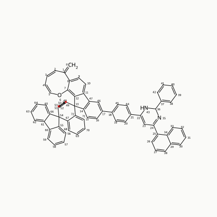 C=C1/C=C\C=C/Oc2c1ccc1c2C2(c3ccc(-c4ccc(C5=CC(c6cccc7ccccc67)=NC(c6ccccc6)N5)cc4)cc3-1)c1ccccc1C1(c3ccccc3-c3ccccc31)c1ccccc12